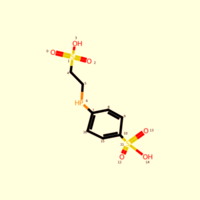 O=S(=O)(O)CCPc1ccc(S(=O)(=O)O)cc1